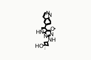 COc1nc(N[C@H]2C[C@](C)(O)C2)nc2[nH]cc(-c3ccc4nnccc4c3)c12